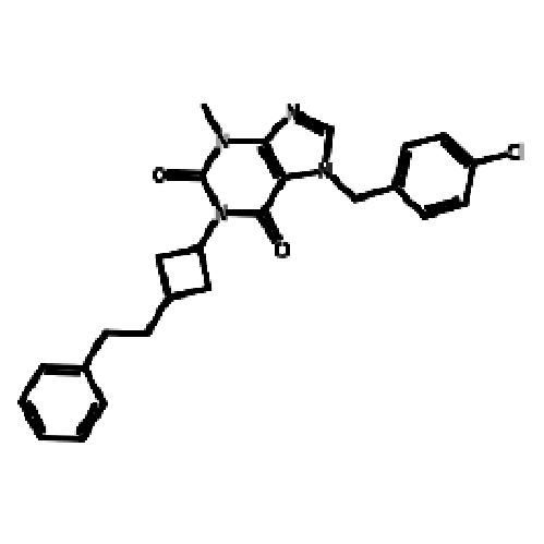 Cn1c(=O)n(C2CC(CCc3ccccc3)C2)c(=O)c2c1ncn2Cc1ccc(Cl)cc1